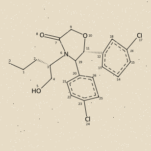 CCC[C@@H](CO)N1C(=O)CO[C@H](c2cccc(Cl)c2)C1c1ccc(Cl)cc1